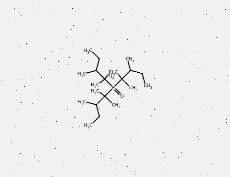 CCC(C)C(C)(C)P(=O)(C(C)(C)C(C)CC)C(C)(C)C(C)CC